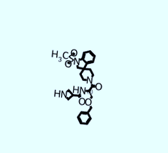 CS(=O)(=O)N1CC2(CCN(C(=O)[C@@H](COCc3ccccc3)NC(=O)C3CNC3)CC2)c2ccccc21